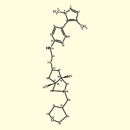 Cc1cnn(C)c1-c1ccc(NCCC2C[C@@H]3CN(CC4CCOCC4)C[C@@H]3C2)nn1